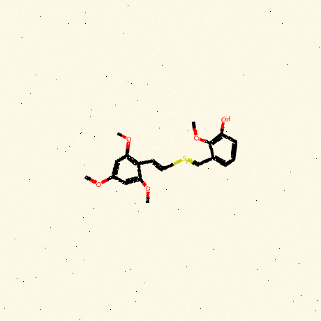 COc1cc(OC)c(/C=C/SCc2cccc(O)c2OC)c(OC)c1